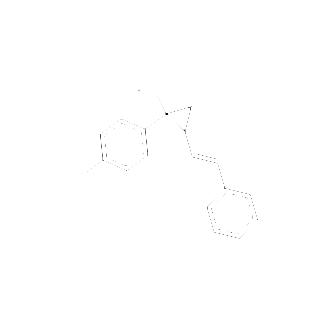 Cc1ccc(C2(C(=O)O)CC2C=Cc2ccccc2)cc1